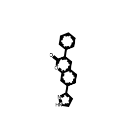 O=c1oc2cc(-c3cc[nH]n3)ccc2cc1-c1ccccc1